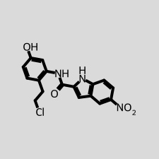 O=C(Nc1cc(O)ccc1CCCl)c1cc2cc([N+](=O)[O-])ccc2[nH]1